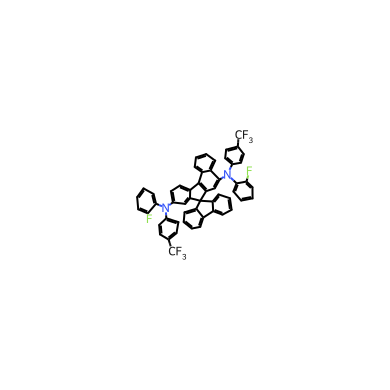 Fc1ccccc1N(c1ccc(C(F)(F)F)cc1)c1ccc2c(c1)C1(c3ccccc3-c3ccccc31)c1cc(N(c3ccc(C(F)(F)F)cc3)c3ccccc3F)c3ccccc3c1-2